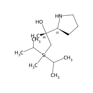 CC(C)[Si](C)(C[C@](C)(O)[C@@H]1CCCN1)C(C)C